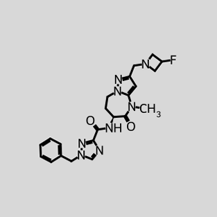 CN1C(=O)[C@@H](NC(=O)c2ncn(Cc3ccccc3)n2)CCn2nc(CN3CC(F)C3)cc21